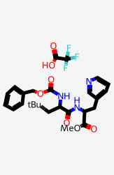 COC(=O)C(Cc1cccnc1)NC(=O)C(CC(C)(C)C)NC(=O)OCc1ccccc1.O=C(O)C(F)(F)F